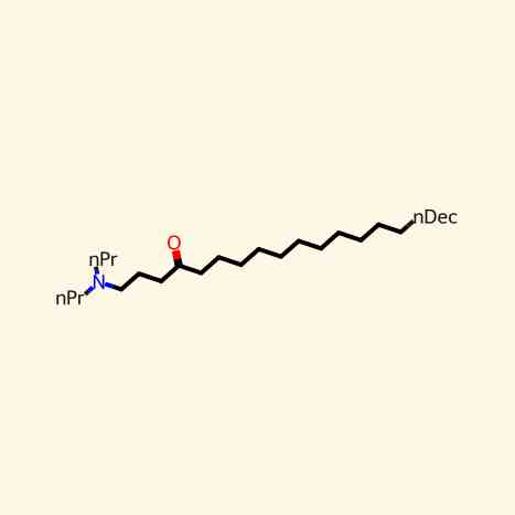 CCCCCCCCCCCCCCCCCCCCCC(=O)CCCN(CCC)CCC